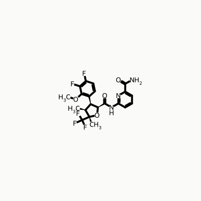 COc1c([C@H]2[C@@H](C(=O)Nc3cccc(C(N)=O)n3)O[C@](C)(C(F)(F)F)[C@H]2C)ccc(F)c1F